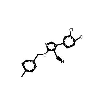 Cc1ccc(COc2scc(-c3ccc(Cl)c(Cl)c3)c2C#N)cc1